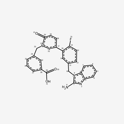 Nc1nc2ccccc2n1Cc1ccc(F)c(-c2ccc(=O)n(Cc3cccc(C(=O)O)c3)n2)c1